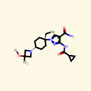 CCOC1(C(F)(F)F)CN([C@H]2CC[C@@](CC#N)(n3cc(C(N)=O)c(NC(=O)C4CC4)n3)CC2)C1